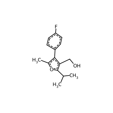 Cc1oc(C(C)C)c(CO)c1-c1ccc(F)cc1